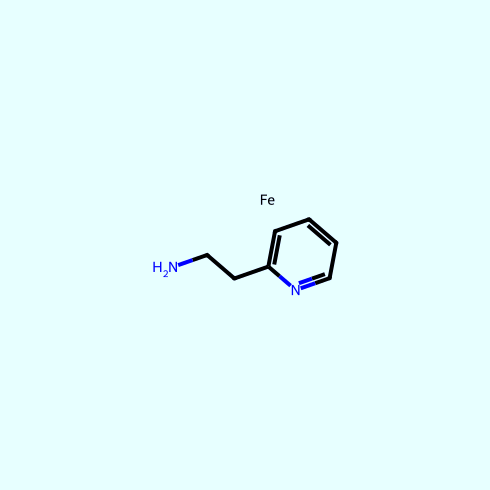 NCCc1ccccn1.[Fe]